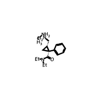 CCN(CC)C(=O)[C@]1(c2ccccc2)C[C@@H]1CN.CN